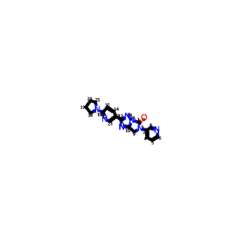 O=C1N(c2cccnc2)Cc2nc(-c3ccc(N4CCCC4)nc3)nn21